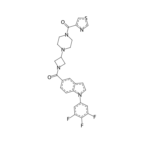 O=C(c1ccc2c(ccn2-c2cc(F)c(F)c(F)c2)c1)N1CC(N2CCN(C(=O)c3cscn3)CC2)C1